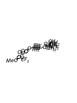 COc1ccc(-c2cc3ccc(OCCC(F)(F)C(F)(F)C(F)(F)C(F)(F)CCOC(=O)C(C)(CC(C)(C)N)C(C)(C)N)cc3oc2=O)c(OC(F)(F)F)c1